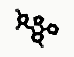 Clc1ccc(COc2ccc(Cl)cc2C(c2ccccc2)n2ccnc2)c(Cl)c1